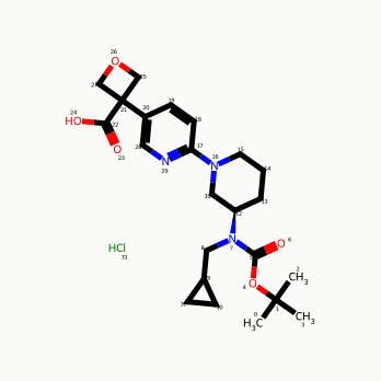 CC(C)(C)OC(=O)N(CC1CC1)[C@@H]1CCCN(c2ccc(C3(C(=O)O)COC3)cn2)C1.Cl